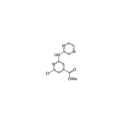 COC(=O)c1cc(Cl)nc(Nc2cnccn2)c1